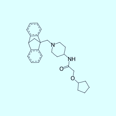 O=C(COC1CCCC1)NC1CCN(CC23CC(c4ccccc42)c2ccccc23)CC1